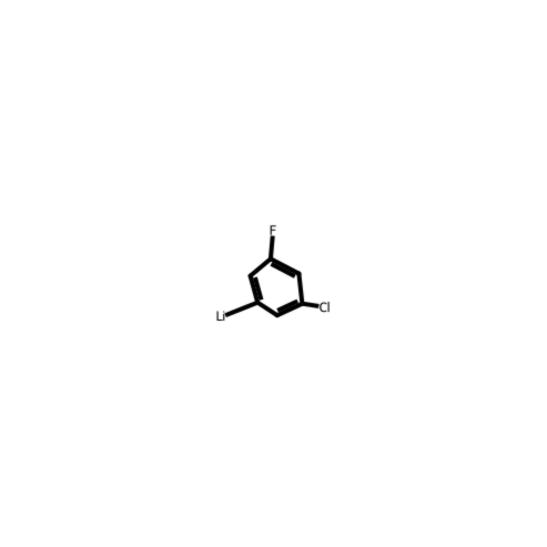 [Li][c]1cc(F)cc(Cl)c1